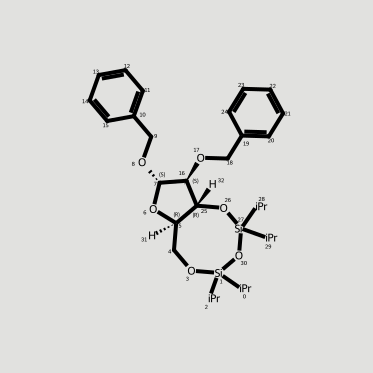 CC(C)[Si]1(C(C)C)OC[C@H]2O[C@H](OCc3ccccc3)[C@@H](OCc3ccccc3)[C@@H]2O[Si](C(C)C)(C(C)C)O1